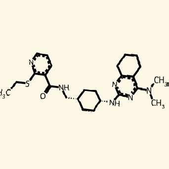 CCSc1ncccc1C(=O)NC[C@H]1CC[C@@H](Nc2nc3c(c(N(C)C)n2)CCCC3)CC1